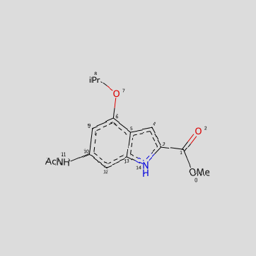 COC(=O)c1cc2c(OC(C)C)cc(NC(C)=O)cc2[nH]1